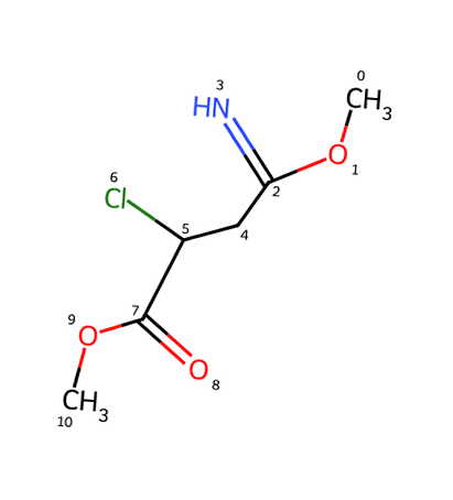 COC(=N)CC(Cl)C(=O)OC